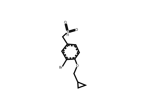 O=[SH](=O)Cc1ccc(OCC2CC2)c(Br)c1